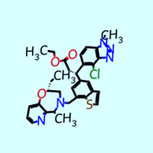 CCOC(=O)C[C@@H](c1cc(CN2C[C@@H](CC)Oc3cccnc3[C@@H]2C)c2sccc2c1)c1ccc2c(nnn2C)c1Cl